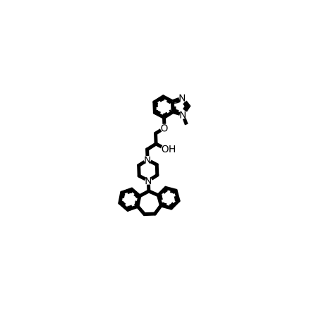 Cn1cnc2cccc(OCC(O)CN3CCN(C4c5ccccc5CCc5ccccc54)CC3)c21